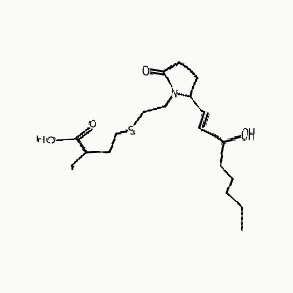 CCCCCC(O)C=CC1CCC(=O)N1CCSCCC(C)C(=O)O